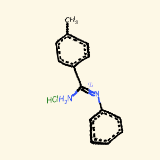 Cc1ccc(/C(N)=N/c2ccccc2)cc1.Cl